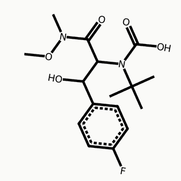 CON(C)C(=O)C(C(O)c1ccc(F)cc1)N(C(=O)O)C(C)(C)C